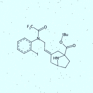 CC(C)(C)OC(=O)C12CCC(CC(=CCN(C(=O)C(F)(F)F)c3ccccc3I)C1)N2